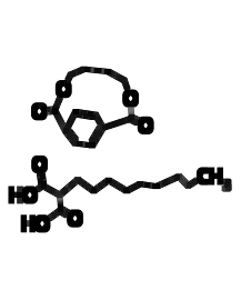 CCCCCCCCCC(C(=O)O)C(=O)O.O=C1OCCCCOC(=O)c2ccc1cc2